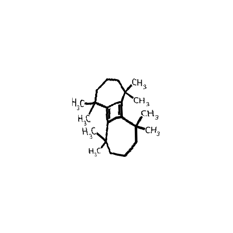 CC1(C)CCCC(C)(C)C2=C3C(=C21)C(C)(C)CCCC3(C)C